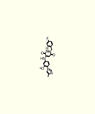 COc1cc(Nc2cc(=O)n(Cc3ccc(F)cc3)[nH]c2=O)ccc1-n1cnc(C)c1